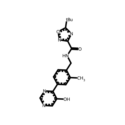 Cc1cc(-c2ncncc2O)ccc1CNC(=O)c1noc(C(C)(C)C)n1